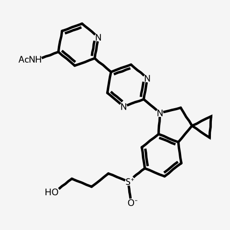 CC(=O)Nc1ccnc(-c2cnc(N3CC4(CC4)c4ccc([S+]([O-])CCCO)cc43)nc2)c1